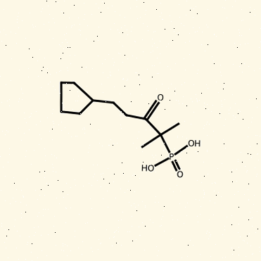 CC(C)(C(=O)CCC1CCCC1)P(=O)(O)O